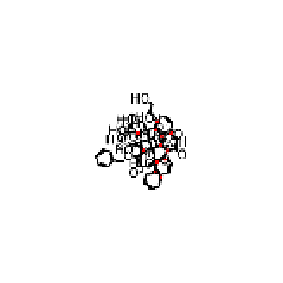 CCC(NC(=O)O)(c1c(OCc2ccccc2)c(=O)ccn1CCO)C([N+](=O)[O-])(C(CC)(NC(=O)O)c1c(OCc2ccccc2)c(=O)ccn1CCO)C(CC)(NC(=O)O)c1c(OCc2ccccc2)c(=O)ccn1CCO